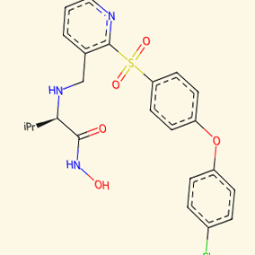 CC(C)[C@@H](NCc1cccnc1S(=O)(=O)c1ccc(Oc2ccc(Cl)cc2)cc1)C(=O)NO